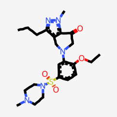 CCCc1nn(C)c2c1CN(c1cc(S(=O)(=O)N3CCN(C)CC3)ccc1OCC)CC2=O